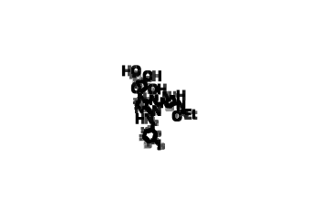 CCC(=O)Nc1cnn(-c2nc(NCc3cccc(I)c3)c3ncn([C@@H]4O[C@H](CO)[C@@H](O)[C@H]4O)c3n2)c1